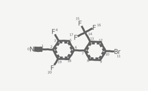 N#Cc1c(F)cc(-c2ccc(Br)cc2C(F)(F)F)cc1F